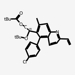 C=Cc1ccc2c(-c3ccc(Cl)cc3)c([C@H](COC(=O)C(C)(C)C)OC(C)(C)C)c(C)cc2n1